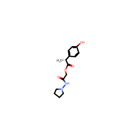 C[C@@H](C(=O)OCC(=O)NN1CCCC1)c1ccc(O)cc1